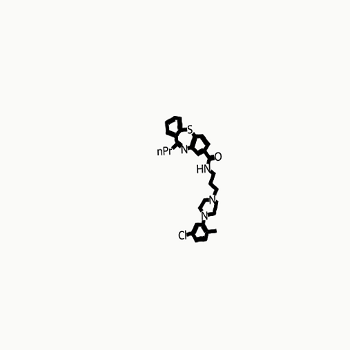 CCCC1=Nc2cc(C(=O)NCCCN3CCN(c4cc(Cl)ccc4C)CC3)ccc2Sc2ccccc21